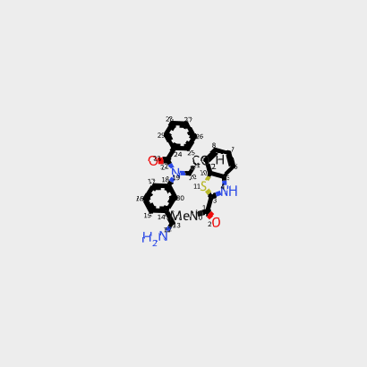 CNC(=O)C1NC2C=CC=CC2S1.NCc1cccc(N(CC(=O)O)C(=O)c2ccccc2)c1